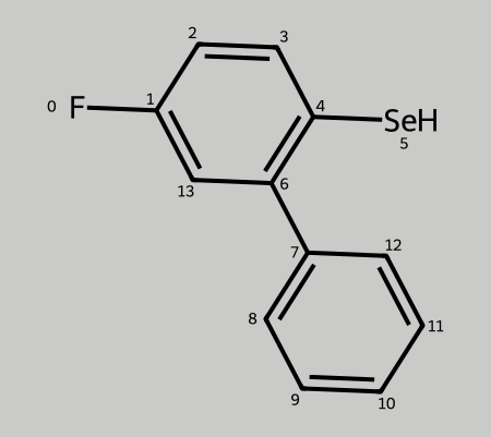 Fc1ccc([SeH])c(-c2ccccc2)c1